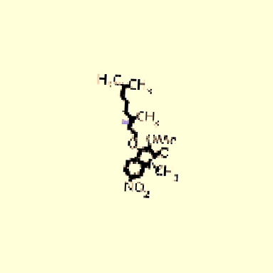 COc1c(OC/C=C(\C)CCC=C(C)C)c2ccc([N+](=O)[O-])cc2n(C)c1=O